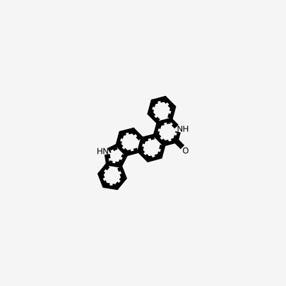 O=c1[nH]c2ccccc2c2c1ccc1c2ccc2[nH]c3ccccc3c21